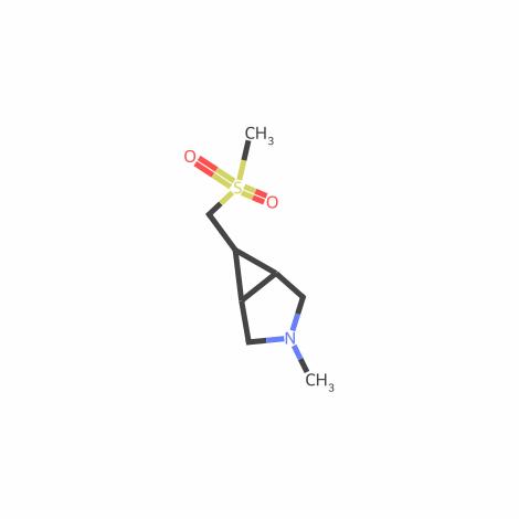 CN1CC2C(C1)C2CS(C)(=O)=O